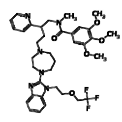 COc1cc(C(=O)N(C)CC(CCN2CCCN(c3nc4ccccc4n3CCOCC(F)(F)F)CC2)c2ccccn2)cc(OC)c1OC